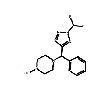 O=CN1CCN(C(c2ccccc2)c2nnn(C(F)F)n2)CC1